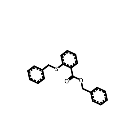 O=C(OCc1ccccc1)c1ccccc1SCc1ccccc1